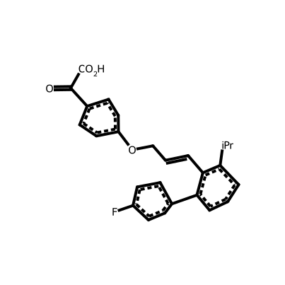 CC(C)c1cccc(-c2ccc(F)cc2)c1/C=C/COc1ccc(C(=O)C(=O)O)cc1